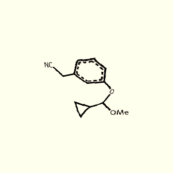 COC(Oc1cccc(CC#N)c1)C1CC1